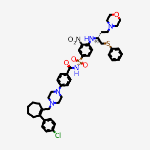 O=C(NS(=O)(=O)c1ccc(N[C@H](CCN2CCOCC2)CSc2ccccc2)c([N+](=O)[O-])c1)c1ccc(N2CCN(CC3=C(c4ccc(Cl)cc4)CCCCC3)CC2)cc1